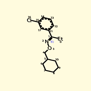 CC/C(=N\OCC1CCCCC1)c1cccc(Cl)c1